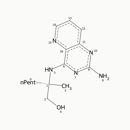 CCCCC[C@](C)(CO)Nc1nc(N)nc2cccnc12